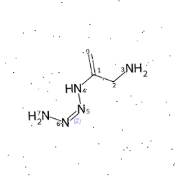 C=C(CN)N/N=N\N